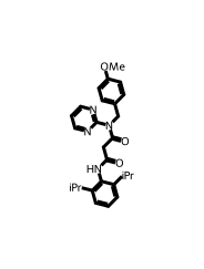 COc1ccc(CN(C(=O)CC(=O)Nc2c(C(C)C)cccc2C(C)C)c2ncccn2)cc1